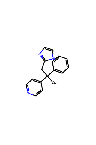 N#CC(Cc1ncc[nH]1)(c1ccccc1)c1ccncc1